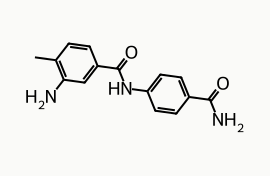 Cc1ccc(C(=O)Nc2ccc(C(N)=O)cc2)cc1N